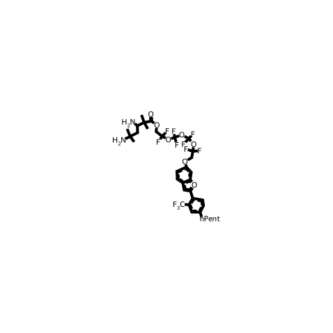 CCCCCc1ccc(-c2cc3ccc(OCC(F)(F)OC(F)(F)OC(F)(F)OC(F)(F)COC(=O)C(C)(C)C(N)CC(C)(C)N)cc3o2)c(C(F)(F)F)c1